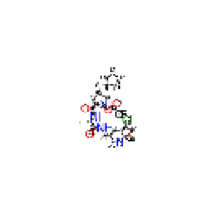 C[C@H](NC(=O)[C@H]1C[C@H](Cc2ccccc2)CN1OC(=O)C(F)(F)F)C(=O)NCc1cnc2scc(Cl)c2c1